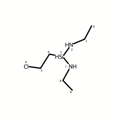 CCN[SiH](CCCl)NCC